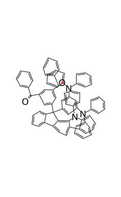 O=C(c1ccccc1)c1cc(C(=O)c2ccccc2)cc(C2(c3cc(N(c4ccccc4)c4ccccc4)cc(N(c4ccccc4)c4ccccc4)c3)c3ccccc3-c3ccc4c5ccccc5n(-c5ccccc5)c4c32)c1